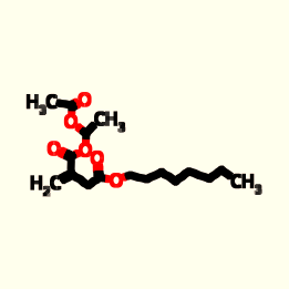 C=C(CC(=O)OCCCCCCCC)C(=O)OC(C)OC(C)=O